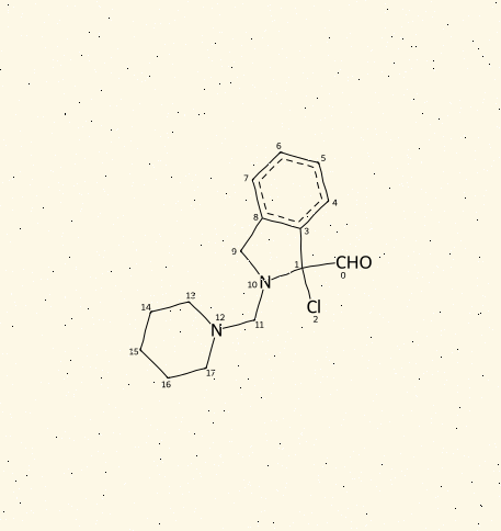 O=CC1(Cl)c2ccccc2CN1CN1CCCCC1